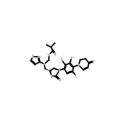 CC(C)C(=O)OCN(C[C@H]1CN(c2cc(F)c(N3C=CC(=O)CC3)c(F)c2F)C(=O)O1)c1ccon1